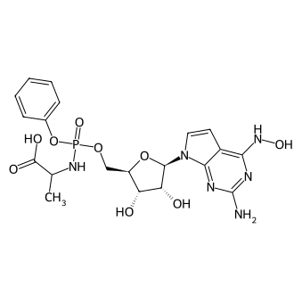 CC(NP(=O)(OC[C@H]1O[C@@H](n2ccc3c(NO)nc(N)nc32)[C@H](O)[C@@H]1O)Oc1ccccc1)C(=O)O